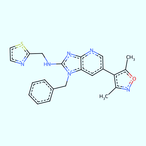 Cc1noc(C)c1-c1cnc2nc(NCc3nccs3)n(Cc3ccccc3)c2c1